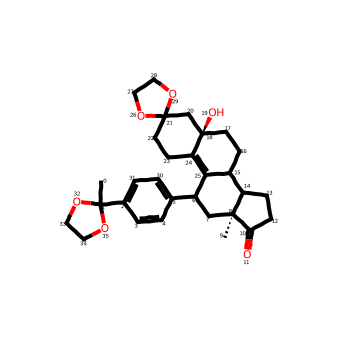 CC1(c2ccc(C3C[C@]4(C)C(=O)CCC4C4CC[C@@]5(O)CC6(CCC5=C34)OCCO6)cc2)OCCO1